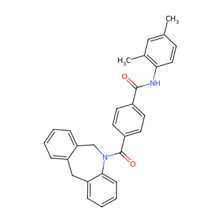 Cc1ccc(NC(=O)c2ccc(C(=O)N3Cc4ccccc4Cc4ccccc43)cc2)c(C)c1